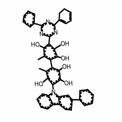 Cc1c(O)c(-c2nc(C3=CC=CCC3)nc(-c3ccccc3)n2)c(O)c(O)c1-c1c(C)c(O)c(-n2c3ccccc3c3ccc(-c4ccccc4)cc32)c(O)c1O